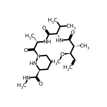 C=C[C@@H](OC)[C@@H](C)C(=O)N[C@H](C(=O)N[C@@H](C)C(=O)N1CCC[C@@H](C(=O)NC)N1)C(C)C